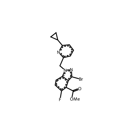 COC(=O)c1c(F)ccc2c1c(Br)nn2Cc1cccc(C2CC2)n1